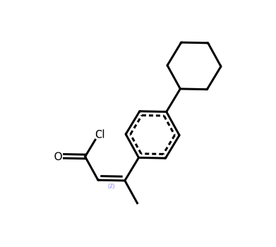 C/C(=C/C(=O)Cl)c1ccc(C2CCCCC2)cc1